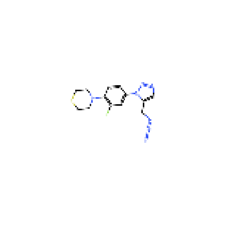 [N-]=[N+]=NCc1cnnn1-c1ccc(N2CCSCC2)c(F)c1